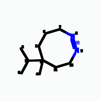 CC(C)C1(C)CCC/N=N\CC1